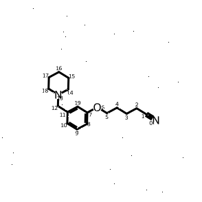 N#CCCCCOc1cccc(CN2CCCCC2)c1